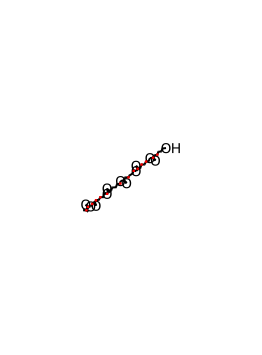 C=C(C)C(=O)OCC(=O)CCCCCOC(=O)CCCCCOC(=O)CCCCCOC(=O)CCCCCOC(=O)CCCCCO